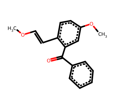 CO/C=C/c1ccc(OC)cc1C(=O)c1ccccc1